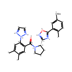 COc1ccc(C)c(-c2nc([C@@H]3CCCN3C(=O)c3cc(C)c(C)cc3-n3nccn3)no2)c1